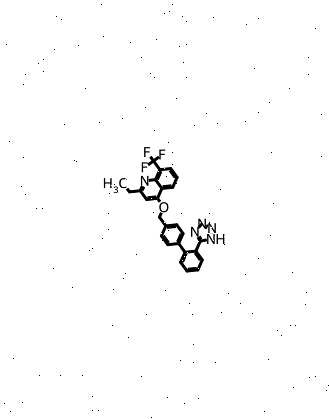 CCc1cc(OCc2ccc(-c3ccccc3-c3nnn[nH]3)cc2)c2cccc(C(F)(F)F)c2n1